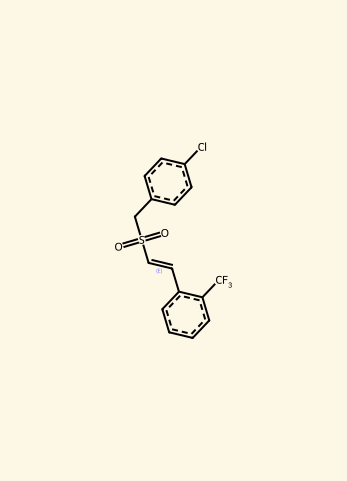 O=S(=O)(/C=C/c1ccccc1C(F)(F)F)Cc1ccc(Cl)cc1